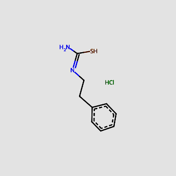 Cl.NC(S)=NCCc1ccccc1